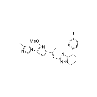 COc1nc(/C(C)=C/c2nc3n(n2)CCC[C@H]3c2ccc(F)cc2)ccc1-n1cnc(C)c1